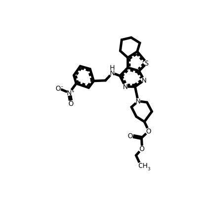 CCOC(=O)OC1CCN(c2nc(NCc3cccc([N+](=O)[O-])c3)c3c4c(sc3n2)CCCC4)CC1